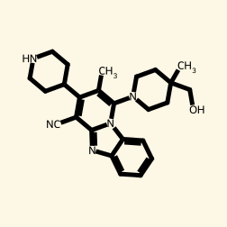 Cc1c(C2CCNCC2)c(C#N)c2nc3ccccc3n2c1N1CCC(C)(CO)CC1